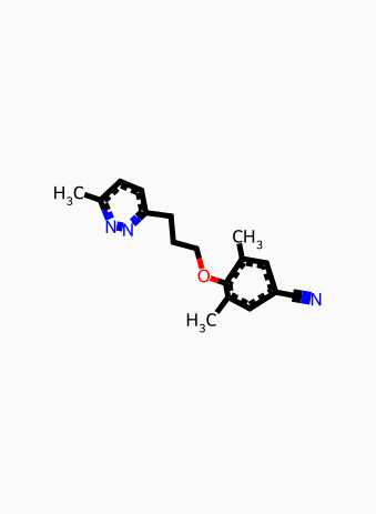 Cc1ccc(CCCOc2c(C)cc(C#N)cc2C)nn1